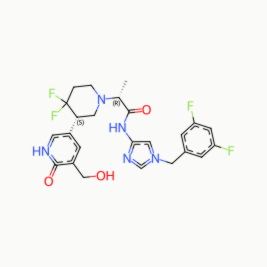 C[C@H](C(=O)Nc1cn(Cc2cc(F)cc(F)c2)cn1)N1CCC(F)(F)[C@@H](c2c[nH]c(=O)c(CO)c2)C1